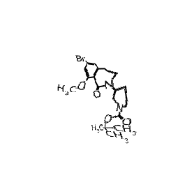 COc1cc(Br)cc2c1C(=O)N(C1CCN(C(=O)OC(C)(C)C)C1)CC2